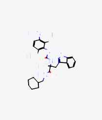 Cc1ccc(N)c(C)c1NC(=O)NC(C)(Cc1c[nH]c2ccccc12)C(=O)NCC1CCCCC1